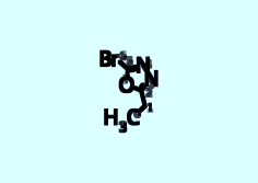 CCc1nnc(Br)o1